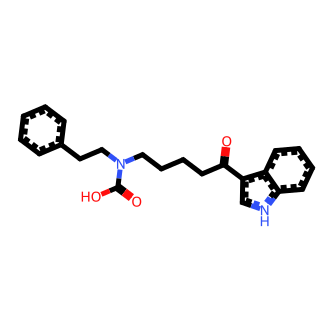 O=C(CCCCN(CCc1ccccc1)C(=O)O)c1c[nH]c2ccccc12